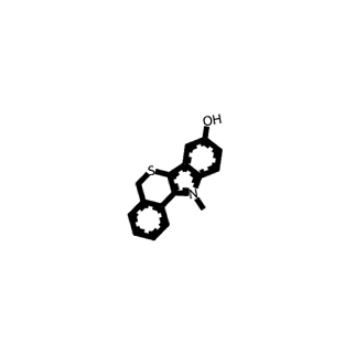 Cn1c2c(c3cc(O)ccc31)SCc1ccccc1-2